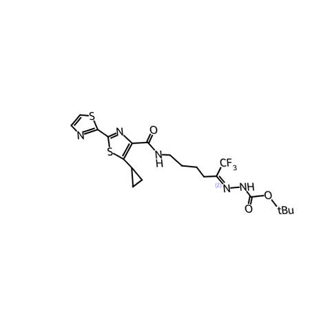 CC(C)(C)OC(=O)N/N=C(/CCCCNC(=O)c1nc(-c2nccs2)sc1C1CC1)C(F)(F)F